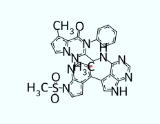 Cc1ccn2nc(C(C)Nc3ncnc4[nH]cc(-c5ccnc6c5ccn6S(C)(=O)=O)c34)n(-c3ccccc3)c(=O)c12